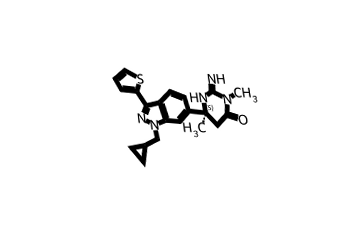 CN1C(=N)N[C@](C)(c2ccc3c(-c4cccs4)nn(CC4CC4)c3c2)CC1=O